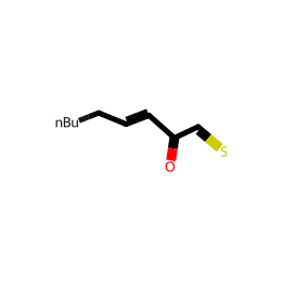 CCCCCC=CC(=O)C=S